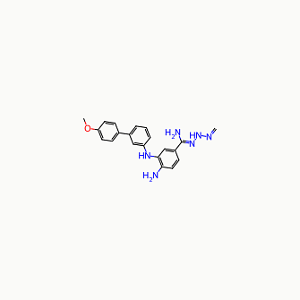 C=NN/N=C(\N)c1ccc(N)c(Nc2cccc(-c3ccc(OC)cc3)c2)c1